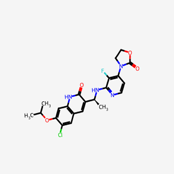 CC(C)Oc1cc2[nH]c(=O)c([C@H](C)Nc3nccc(N4CCOC4=O)c3F)cc2cc1Cl